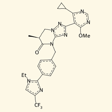 CCn1cc(C(F)(F)F)nc1-c1ccc(CN2C(=O)[C@@H](C)Cn3nc(-c4c(OC)ncnc4C4CC4)nc32)cc1